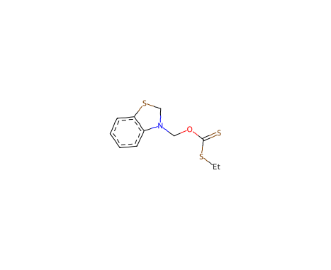 CCSC(=S)OCN1CSc2ccccc21